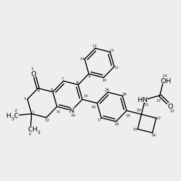 CC1(C)CC(=O)c2cc(-c3ccccc3)c(-c3ccc(C4(NC(=O)O)CCC4)cc3)nc2C1